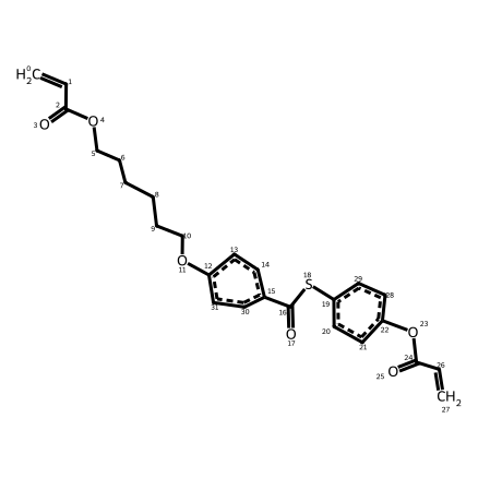 C=CC(=O)OCCCCCCOc1ccc(C(=O)Sc2ccc(OC(=O)C=C)cc2)cc1